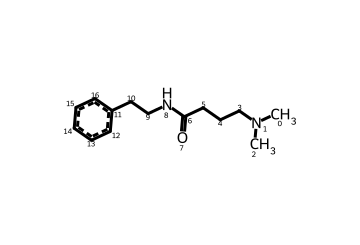 CN(C)CCCC(=O)NCCc1ccccc1